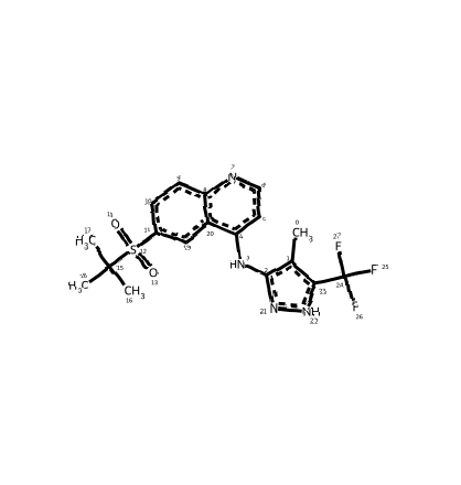 Cc1c(Nc2ccnc3ccc(S(=O)(=O)C(C)(C)C)cc23)n[nH]c1C(F)(F)F